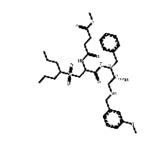 CCCC(CCC)S(=O)(=O)CC(NC(=O)CCC(=O)NC)C(=O)N[C@@H](Cc1ccccc1)[C@H](O)CNCc1cccc(OC)c1